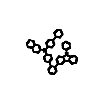 c1ccc(-c2ccc(N(c3ccc(-c4ccccc4-c4ccc5c(c4)c4ccccc4n5-c4ccccc4)cc3)c3ccc4ccccc4c3)cc2)cc1